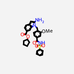 COc1cc(C(=O)NS(=O)(=O)c2ccccc2)ccc1Cn1c(N)cc2ccc(C(=O)OC3CCCC3)cc21